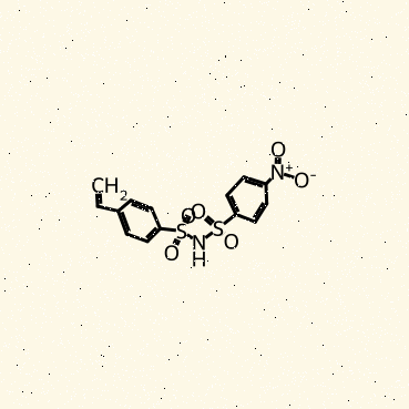 C=Cc1ccc(S(=O)(=O)NS(=O)(=O)c2ccc([N+](=O)[O-])cc2)cc1